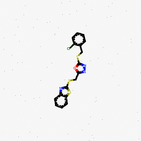 Clc1ccccc1CSc1nnc(CSc2nc3ccccc3s2)o1